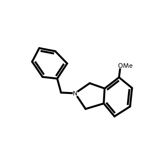 COc1cccc2c1CN(Cc1ccccc1)C2